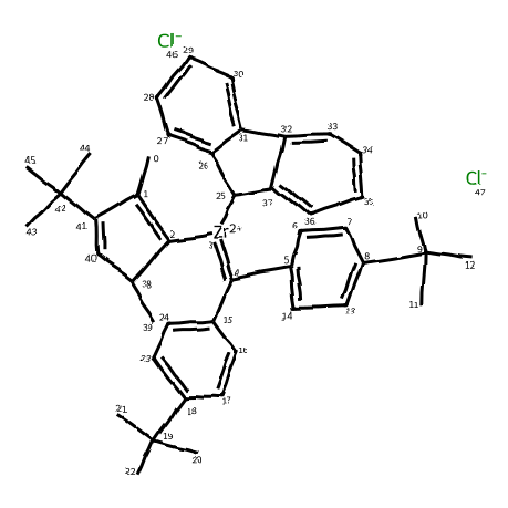 CC1=[C]([Zr+2](=[C](c2ccc(C(C)(C)C)cc2)c2ccc(C(C)(C)C)cc2)[CH]2c3ccccc3-c3ccccc32)C(C)C=C1C(C)(C)C.[Cl-].[Cl-]